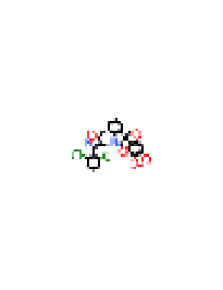 Cc1onc(-c2c(Cl)cccc2Cl)c1CN1C(=O)C2(COc3cc4c(cc32)OCO4)c2ccccc21